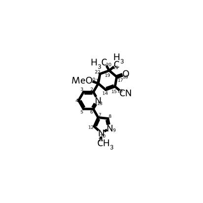 COC1(c2cccc(-c3cnn(C)c3)n2)C=C(C#N)C(=O)C(C)(C)C1